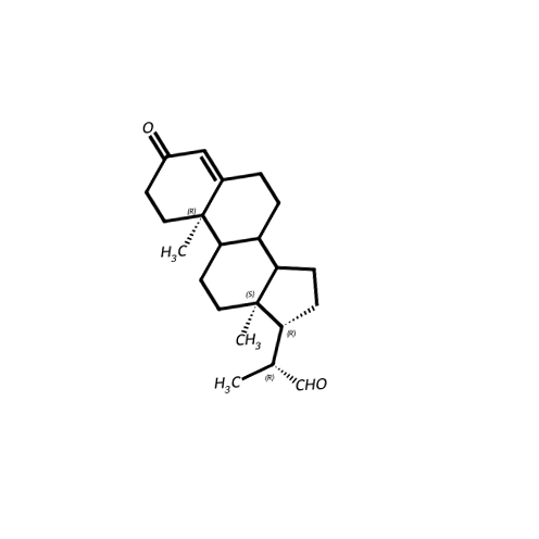 C[C@@H](C=O)[C@H]1CCC2C3CCC4=CC(=O)CC[C@]4(C)C3CC[C@@]21C